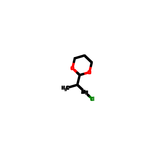 C[CH]([Mg][Cl])C1OCCCO1